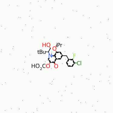 CC(C)Oc1cc(Cc2cccc(Cl)c2F)cc2c(=O)c(OC(=O)O)cn([C@H](CO)C(C)(C)C)c12